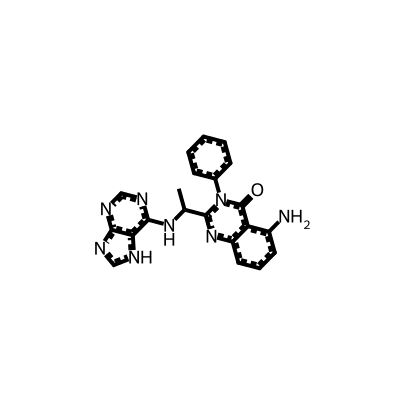 CC(Nc1ncnc2nc[nH]c12)c1nc2cccc(N)c2c(=O)n1-c1ccccc1